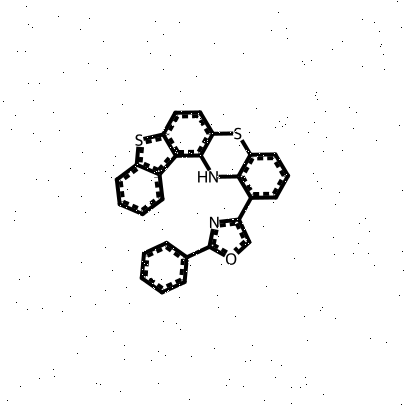 c1ccc(-c2nc(-c3cccc4c3Nc3c(ccc5sc6ccccc6c35)S4)co2)cc1